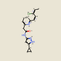 C\C=C(CC(=O)Nc1cc(C2CC2)[nH]n1)/N=C(/C=C\C(Cl)=C/C)CCC